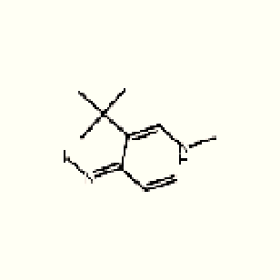 C=CC(=N/I)/C(=C\NC)C(C)(C)C